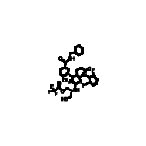 Cc1ccc(C(=O)NCc2ccccc2)cc1-c1nc(NC(CO)COC(=O)C(F)(F)F)nc2c1ccc(=O)n2-c1c(F)cccc1F